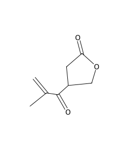 C=C(C)C(=O)C1COC(=O)C1